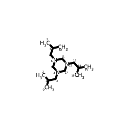 CC(C)CN1CN(CC(C)C)CN(CC(C)C)C1